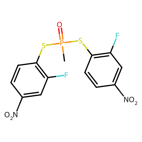 CP(=O)(Sc1ccc([N+](=O)[O-])cc1F)Sc1ccc([N+](=O)[O-])cc1F